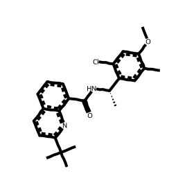 COc1cc(Cl)c([C@H](C)NC(=O)c2cccc3ccc(C(C)(C)C)nc23)cc1C